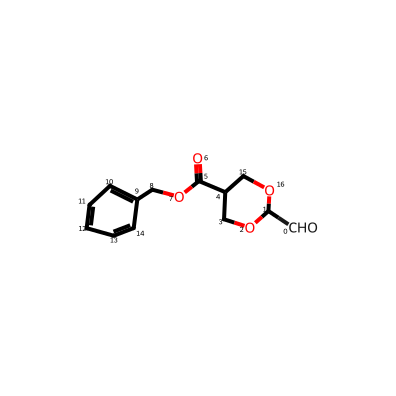 O=CC1OCC(C(=O)OCc2ccccc2)CO1